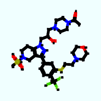 CC(=O)N1CCN(CC(O)Cn2nc(-c3ccc(C(F)(F)F)c(SCCN4CCOCC4)c3)c3c2CCN(S(C)(=O)=O)C3)CC1